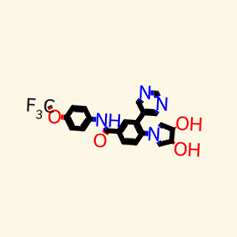 O=C(Nc1ccc(OC(F)(F)F)cc1)c1ccc(N2C[C@H](O)[C@@H](O)C2)c(-c2cncnc2)c1